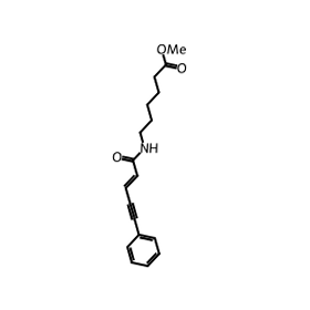 COC(=O)CCCCCNC(=O)/C=C/C#Cc1ccccc1